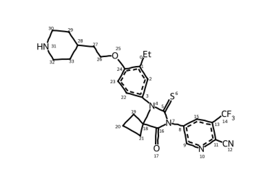 CCc1cc(N2C(=S)N(c3cnc(C#N)c(C(F)(F)F)c3)C(=O)C23CCC3)ccc1OCCC1CCNCC1